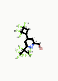 FC(F)(F)C(F)(c1cc(C2CC(F)(F)C2(F)F)[c]c(CBr)n1)C(F)(F)F